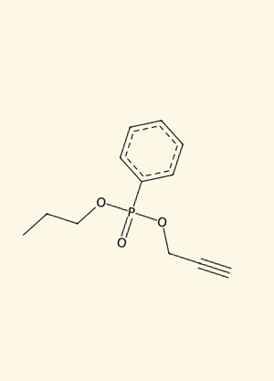 C#CCOP(=O)(OCCC)c1ccccc1